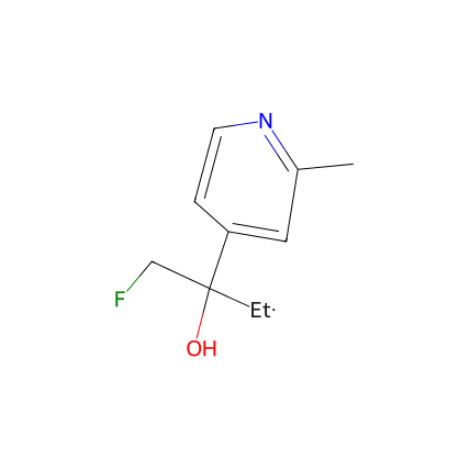 C[CH]C(O)(CF)c1ccnc(C)c1